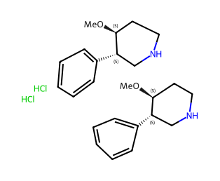 CO[C@H]1CCNC[C@@H]1c1ccccc1.CO[C@H]1CCNC[C@@H]1c1ccccc1.Cl.Cl